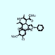 COC(=O)C1=C(C)NC(C)=C(C(=O)OC)C1c1cn(-c2ccccc2)nc1-c1ccc(OC)c(Cl)c1